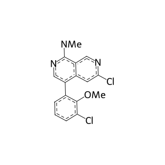 CNc1ncc(-c2cccc(Cl)c2OC)c2cc(Cl)ncc12